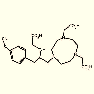 N#CSc1ccc(CC(CN2CCN(CC(=O)O)CCN(CC(=O)O)CC2)NCC(=O)O)cc1